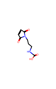 O=C(O)NCCCN1C(=O)C=CC1=O